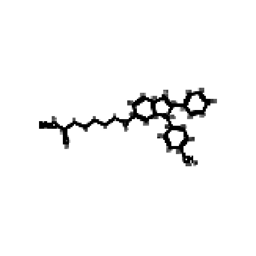 COC(=O)CCCCCOc1ccc2nc(-c3ccncc3)n(-c3ccc(C)cc3)c2c1